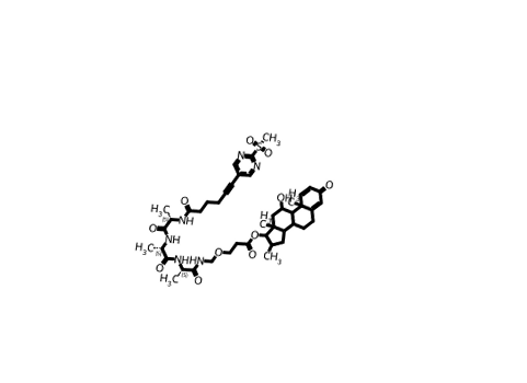 CC1CC2C3CCC4=CC(=O)C=CC4(C)C3C(O)CC2(C)C1OC(=O)CCOCNC(=O)[C@H](C)NC(=O)[C@H](C)NC(=O)[C@H](C)NC(=O)CCCC#Cc1cnc(S(C)(=O)=O)nc1